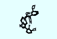 OC(Nc1cccc(Cl)c1)N1CCn2ncc(-c3cccc(Cl)c3F)c2C1